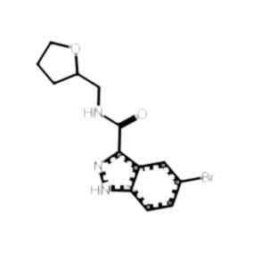 O=C(NCC1CCCO1)c1n[nH]c2ccc(Br)cc12